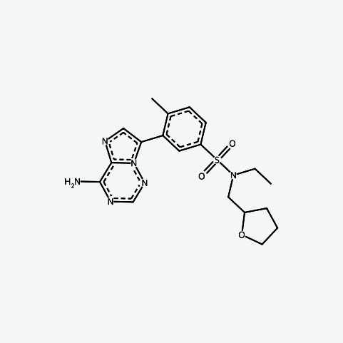 CCN(CC1CCCO1)S(=O)(=O)c1ccc(C)c(-c2cnc3c(N)ncnn23)c1